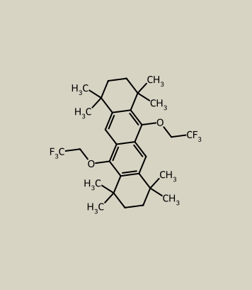 CC1(C)CCC(C)(C)c2c1cc1c(OCC(F)(F)F)c3c(cc1c2OCC(F)(F)F)C(C)(C)CCC3(C)C